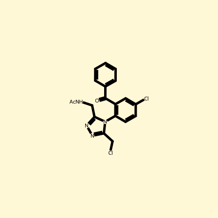 CC(=O)NCc1nnc(CCl)n1-c1ccc(Cl)cc1C(=O)c1ccccc1